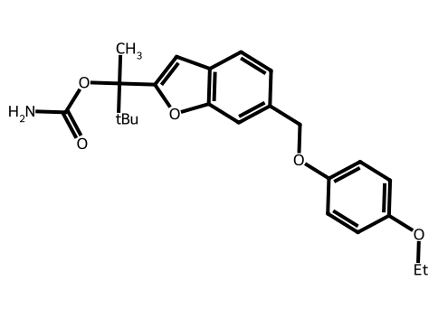 CCOc1ccc(OCc2ccc3cc(C(C)(OC(N)=O)C(C)(C)C)oc3c2)cc1